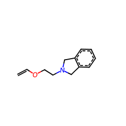 C=COCCN1Cc2ccccc2C1